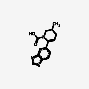 CC1CC=C(c2ccc3scnc3c2)N(C(=O)O)C1